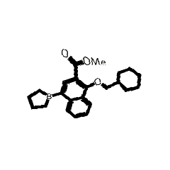 COC(=O)c1cc(B2CCCC2)c2ccccc2c1OCC1CCCCC1